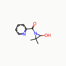 CC1(C)C(O)N1C(=O)c1ccccn1